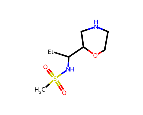 CCC(NS(C)(=O)=O)C1CNCCO1